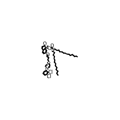 CCCCCCCCCCCCCCN(CCCCCCCCCCCCCC)C(=O)OCn1c(=O)ccc2ccc(OCCCCN3CCN(c4cccc(Cl)c4Cl)CC3)cc21